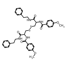 COc1ccc(C(=O)NC(CSSCC(NC(=O)c2ccc(OC)cc2)C(=O)NCCc2ccccc2)C(=O)NCCc2ccccc2)cc1